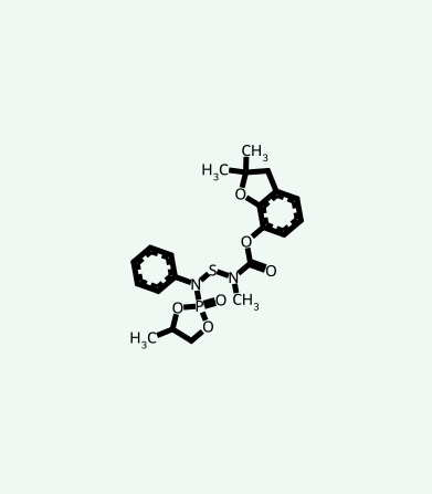 CC1COP(=O)(N(SN(C)C(=O)Oc2cccc3c2OC(C)(C)C3)c2ccccc2)O1